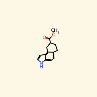 COC(=O)C1CCc2ccc3[nH]ccc3c2C1